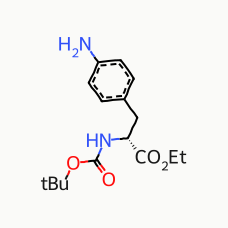 CCOC(=O)[C@@H](Cc1ccc(N)cc1)NC(=O)OC(C)(C)C